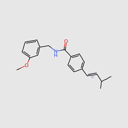 COc1cccc(CNC(=O)c2ccc(/C=C/C(C)C)cc2)c1